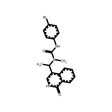 CC(c1c[nH]c(=O)c2ccccc12)N(C)C(=O)Nc1ccc(Br)cc1